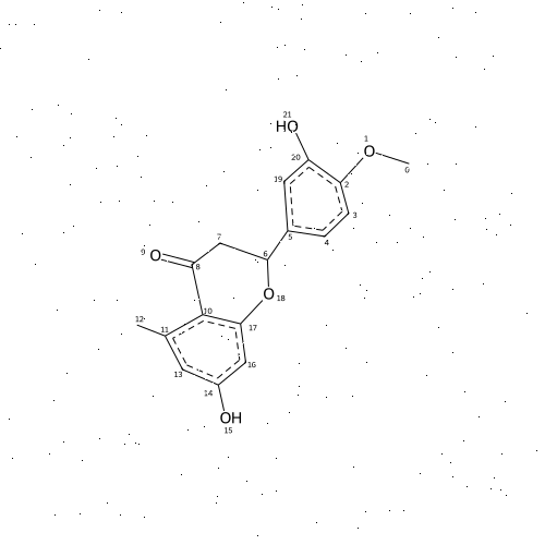 COc1ccc(C2CC(=O)c3c(C)cc(O)cc3O2)cc1O